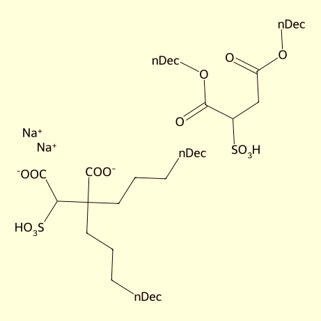 CCCCCCCCCCCCCC(CCCCCCCCCCCCC)(C(=O)[O-])C(C(=O)[O-])S(=O)(=O)O.CCCCCCCCCCOC(=O)CC(C(=O)OCCCCCCCCCC)S(=O)(=O)O.[Na+].[Na+]